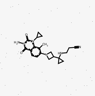 Cc1c(N2CC(C3(NCCC#N)CC3)C2)ccc2c(=O)n(N)c(=O)n(C3CC3)c12